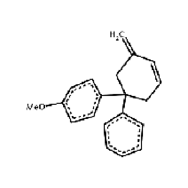 C=C1C=CCC(c2ccccc2)(c2ccc(OC)cc2)C1